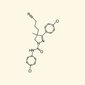 CC1(CCCC#N)CN(C(=O)Nc2ccc(Cl)cc2)N=C1c1ccc(Cl)cc1